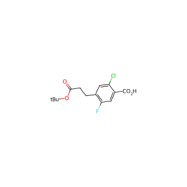 CC(C)(C)OC(=O)CCc1cc(Cl)c(C(=O)O)cc1F